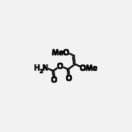 COC=C(OC)C(=O)OC(N)=O